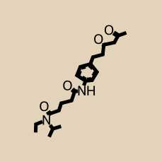 CCN(C(=O)CCCC(=O)Nc1ccc(CCC(=O)CC(C)=O)cc1)C(C)C